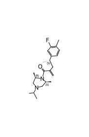 C=C(C[C@H](C)c1ccc(C)c(F)c1)C(=O)N1[C@H](C)CN(C(C)C)C[C@@H]1C